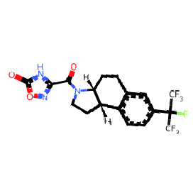 O=C(c1noc(=O)[nH]1)N1CC[C@H]2c3ccc(C(F)(C(F)(F)F)C(F)(F)F)cc3CC[C@H]21